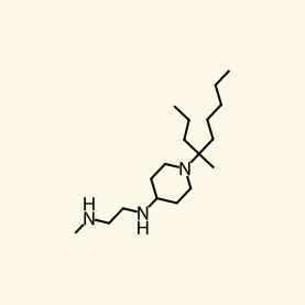 CCCCCC(C)(CCC)N1CCC(NCCNC)CC1